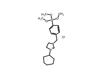 CO[Si](OC)(OC)c1ccc(CN2C=[N+](C3CCCCC3)CC2)cc1.[Cl-]